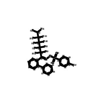 O=S(=O)(ON=C(c1ccccc1-c1ccccc1)C(F)(F)C(F)(F)C(F)(F)C(F)(F)C(F)F)c1ccc(F)cc1